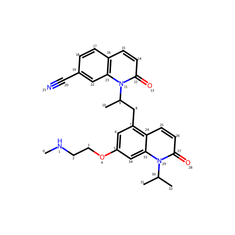 CNCCOc1cc(CC(C)n2c(=O)ccc3ccc(C#N)cc32)c2ccc(=O)n(C(C)C)c2c1